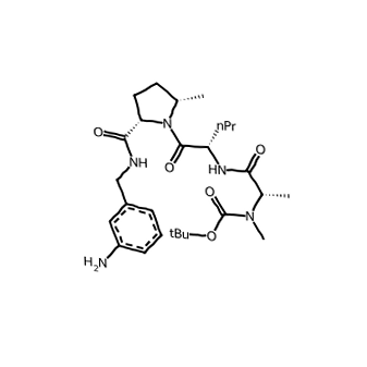 CCC[C@H](NC(=O)[C@H](C)N(C)C(=O)OC(C)(C)C)C(=O)N1[C@@H](C)CC[C@H]1C(=O)NCc1cccc(N)c1